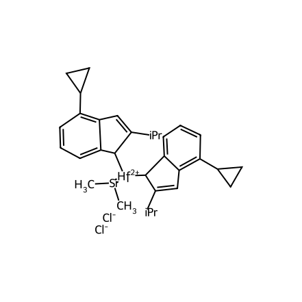 CC(C)C1=Cc2c(C3CC3)cccc2[CH]1[Hf+2]([CH]1C(C(C)C)=Cc2c(C3CC3)cccc21)=[Si](C)C.[Cl-].[Cl-]